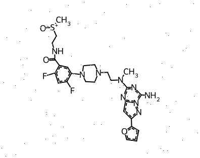 CN(CCN1CCN(c2cc(C(=O)NCC[S@@+](C)[O-])c(F)cc2F)CC1)c1nc(N)n2nc(-c3ccco3)cc2n1